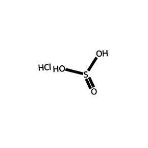 Cl.O=S(O)O